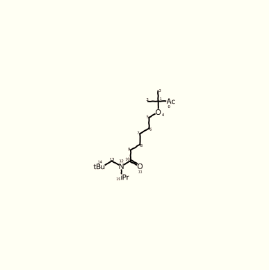 CC(=O)C(C)(C)OCCCCCC(=O)N(CC(C)(C)C)C(C)C